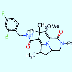 CCCC1(C)C(OC)=C2C(=O)N(CC)CC3CC(C)C(=C1C(=O)NCc1ccc(F)cc1F)N23